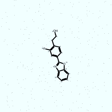 OCCc1ccc(-c2nc3ccccc3o2)cc1F